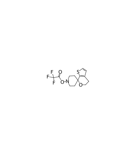 O=C(ON1CCC2(CC1)OCCc1ccsc12)C(F)(F)F